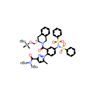 CCCCN(CCCC)C(=O)c1cc(C)n(-c2ccc(N(S(=O)(=O)c3ccccc3)S(=O)(=O)c3ccccc3)cc2C(=O)N2Cc3ccccc3C[C@H]2CO[Si](C)(C)C(C)(C)C)n1